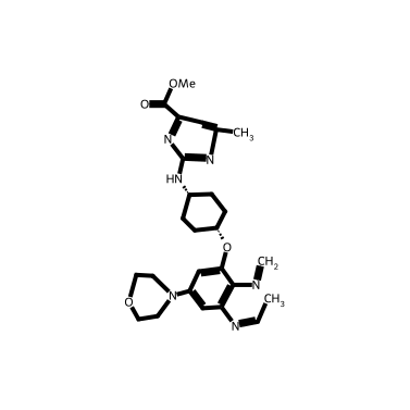 C=Nc1c(/N=C\C)cc(N2CCOCC2)cc1O[C@H]1CC[C@@H](Nc2nc(C)cc(C(=O)OC)n2)CC1